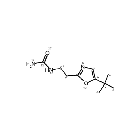 CC(C)(C)c1cnc(CSNC(N)=O)o1